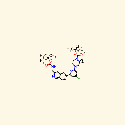 CC(C)(C)OC(=O)NCc1cc2nc(-c3cc(F)cc(N4CCN(C(=O)OC(C)(C)C)C5(CC5)C4)n3)ccc2cn1